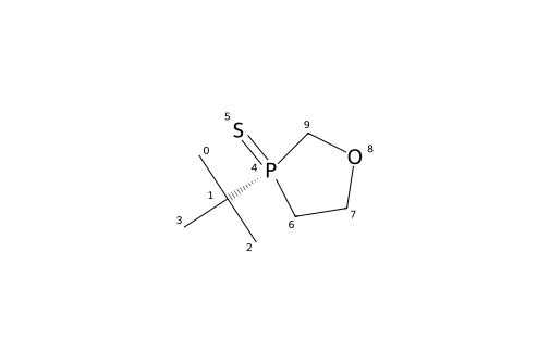 CC(C)(C)[P@@]1(=S)CCOC1